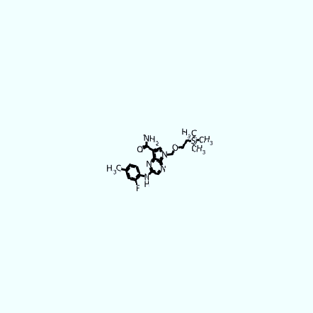 Cc1ccc(Nc2cnc3c(n2)c(C(N)=O)cn3COCC[Si](C)(C)C)c(F)c1